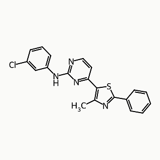 Cc1nc(-c2ccccc2)sc1-c1ccnc(Nc2cccc(Cl)c2)n1